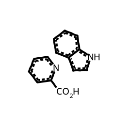 O=C(O)c1ccccn1.c1ccc2[nH]ccc2c1